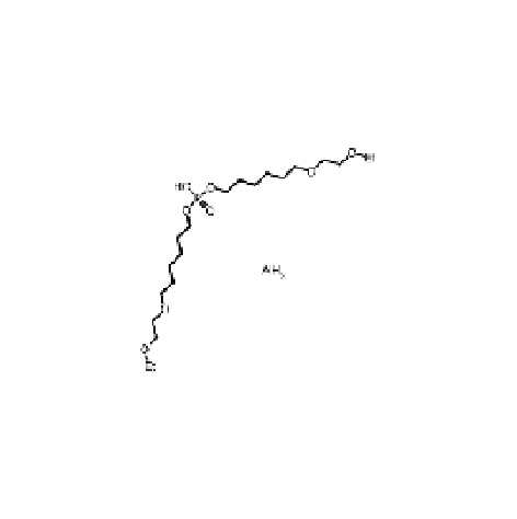 CCOCCOCCCCCCOP(=O)(O)OCCCCCCOCCOCC.[AlH3]